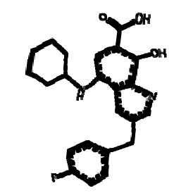 O=C(O)c1cc(NC2CCCCC2)c2cc(Cc3ccc(F)cc3)cnc2c1O